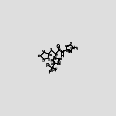 Cn1ccc(NC(=O)[C@H](CC2CCCC2)n2cnc(C(F)(F)F)c2)n1